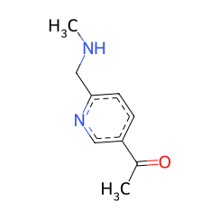 CNCc1ccc(C(C)=O)cn1